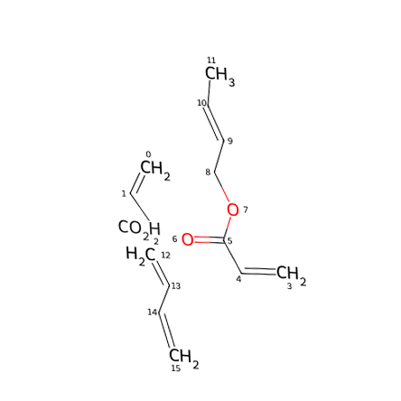 C=CC(=O)O.C=CC(=O)OCC=CC.C=CC=C